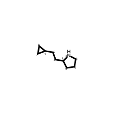 C1CNC(CCC2CC2)C1